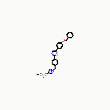 O=C(O)C1CN(Cc2ccc(-c3ncc(-c4ccc(OCc5ccccc5)cc4)s3)cc2)C1